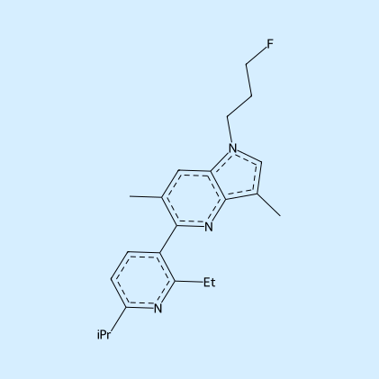 CCc1nc(C(C)C)ccc1-c1nc2c(C)cn(CCCF)c2cc1C